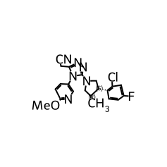 COc1ccc(-n2c(CC#N)nnc2N2C[C@H](c3ccc(F)cc3Cl)[C@@H](C)C2)cn1